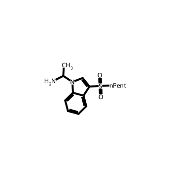 CCCCCS(=O)(=O)c1cn(C(C)N)c2ccccc12